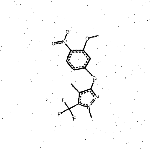 COc1cc(Oc2nn(C)c(C(F)(F)F)c2C)ccc1[N+](=O)[O-]